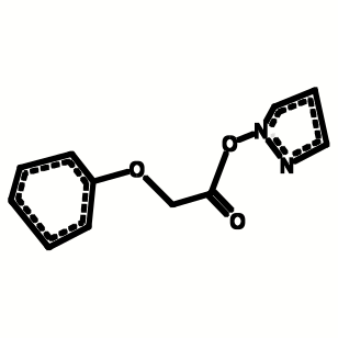 O=C(COc1ccccc1)On1cccn1